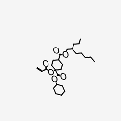 C=CC(=O)OC1(C(=O)OC2CCCCC2)CCC(C(=O)OCC(CCC)CCCCC)CC1